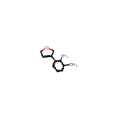 Cc1cccc(C2=CCOC2)c1N